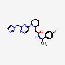 CC(NC(=O)CC1CCCCN1c1ccnc(Cn2ccnc2)n1)c1ccc(F)cc1